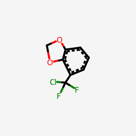 FC(F)(Cl)c1cccc2c1OCO2